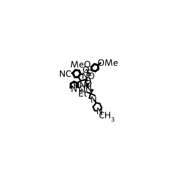 CCOc1ncccc1[C@@]1(NC(=O)N2CC3(C2)CN(C2CCN(C)CC2)C3)C(=O)N(S(=O)(=O)c2ccc(OC)cc2OC)c2ccc(C#N)cc21